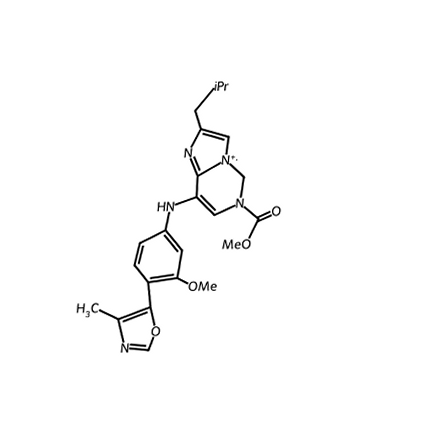 COC(=O)N1C=C(Nc2ccc(-c3ocnc3C)c(OC)c2)C2=NC(CC(C)C)=C[N+]2C1